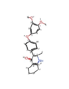 COc1ccc(Oc2ccc(-c3c(C)[nH]c4c(c3=O)CCCC4)cc2)cc1OC